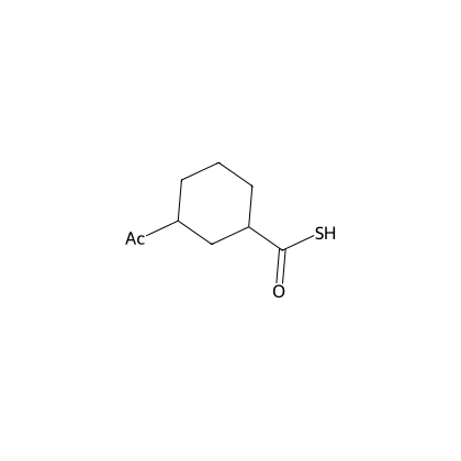 CC(=O)C1CCCC(C(=O)S)C1